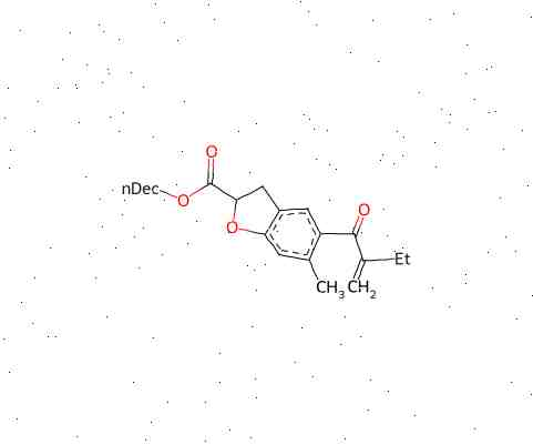 C=C(CC)C(=O)c1cc2c(cc1C)OC(C(=O)OCCCCCCCCCC)C2